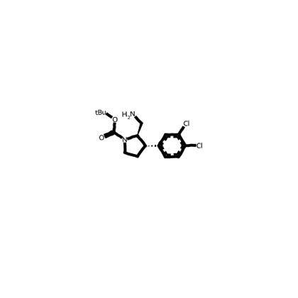 CC(C)(C)OC(=O)N1CC[C@@H](c2ccc(Cl)c(Cl)c2)[C@@H]1CN